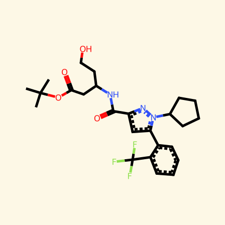 CC(C)(C)OC(=O)CC(CCO)NC(=O)c1cc(-c2ccccc2C(F)(F)F)n(C2CCCC2)n1